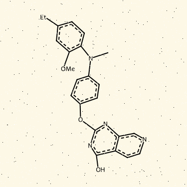 CCc1ccc(N(C)c2ccc(Oc3nc(O)c4ccncc4n3)cc2)c(OC)c1